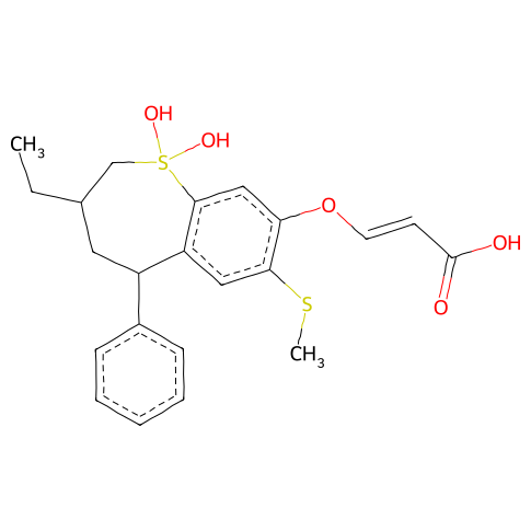 CCC1CC(c2ccccc2)c2cc(SC)c(O/C=C/C(=O)O)cc2S(O)(O)C1